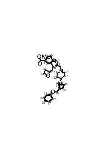 COC(=O)c1ccc2nc(CN3CCC(n4ccc(COc5ccccc5)n4)CC3)n(CC3CCO3)c2c1